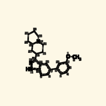 COc1cccc(-c2ccc3[nH]nc(C4CCN5CCCCC5C4)c3c2)c1